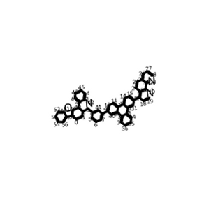 C1=CC2C(c3cccc(-c4ccc5c6ccc(-c7ccnc8c7ccc7cccnc78)cc6c6ccccc6c5c4)c3)=Nc3ccccc3C2c2oc3ccccc3c21